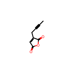 CC#CCC1=CC(=O)OC1=O